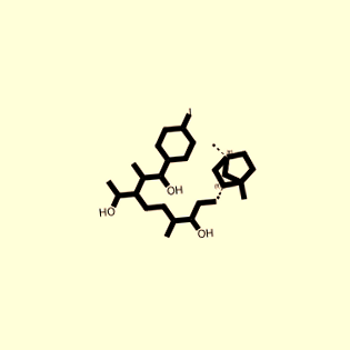 CC(O)C(CCC(C)C(O)CC[C@@H]1C[C@@]2(C)CCC1(C)C2)C(C)C(O)C1CCC(I)CC1